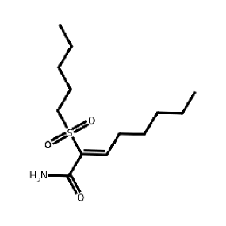 CCCCCC=C(C(N)=O)S(=O)(=O)CCCCC